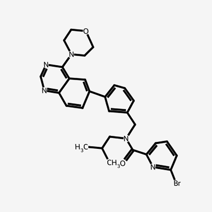 CC(C)CN(Cc1cccc(-c2ccc3ncnc(N4CCOCC4)c3c2)c1)C(=O)c1cccc(Br)n1